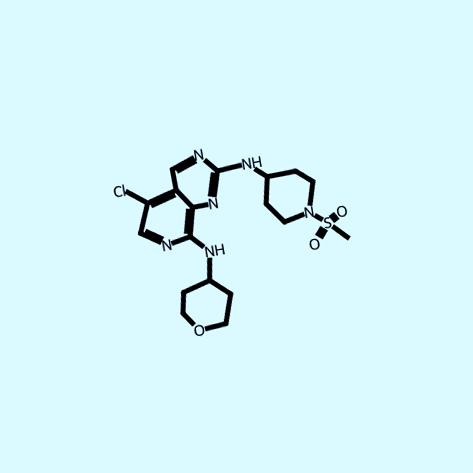 CS(=O)(=O)N1CCC(Nc2ncc3c(Cl)cnc(NC4CCOCC4)c3n2)CC1